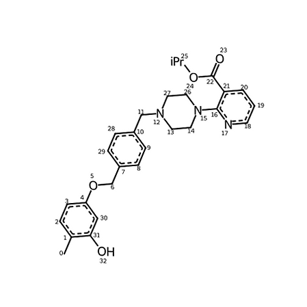 Cc1ccc(OCc2ccc(CN3CCN(c4ncccc4C(=O)OC(C)C)CC3)cc2)cc1O